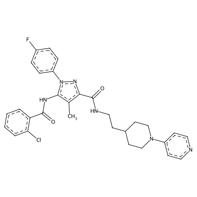 Cc1c(C(=O)NCCC2CCN(c3ccncc3)CC2)nn(-c2ccc(F)cc2)c1NC(=O)c1ccccc1Cl